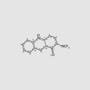 O=c1c(NC(F)(F)F)ccc2[nH]c3ccccc3cc1-2